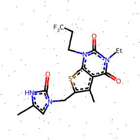 CCn1c(=O)c2c(C)c(Cn3cc(C)[nH]c3=O)sc2n(CCC(F)(F)F)c1=O